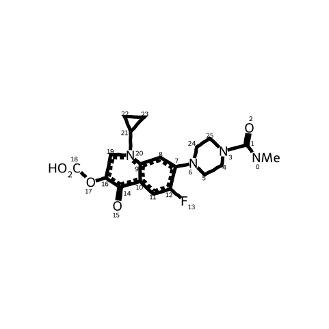 CNC(=O)N1CCN(c2cc3c(cc2F)c(=O)c(OC(=O)O)cn3C2CC2)CC1